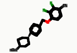 CCCCCCCC[C@H]1CC[C@H](c2ccc(COc3ccc(C#N)c(F)c3F)cc2)CC1